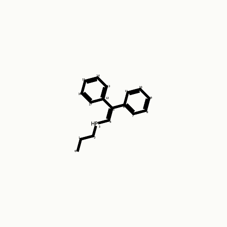 CCCPC=C(c1ccccc1)c1ccccc1